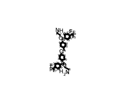 NCCOB(c1ccc(COc2ccc(B(OCCN)c3ccc(C(F)(F)F)cc3)cc2)cc1)c1ccc(C(F)(F)F)cc1